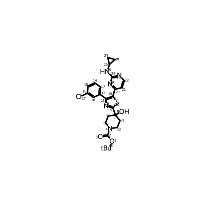 CC(C)(C)OC(=O)N1CCC(O)(c2nc(-c3cccc(Cl)c3)c(-c3ccnc(NC4CC4)n3)s2)CC1